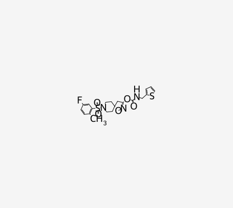 Cc1ccc(F)cc1S(=O)(=O)N1CCC2(CC1)CC(OC(=O)NCc1cccs1)=NO2